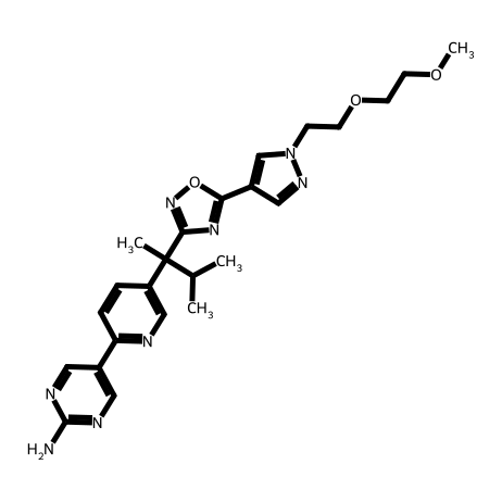 COCCOCCn1cc(-c2nc(C(C)(c3ccc(-c4cnc(N)nc4)nc3)C(C)C)no2)cn1